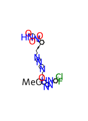 COc1cc2ncnc(Nc3ccc(F)c(Cl)c3)c2cc1OCCCN1CCC(N2CCN(CCCC#Cc3cccc4c3CN(C3CCC(=O)NC3=O)C4=O)CC2)CC1